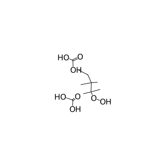 CCC(C)(C)C(C)(C)OO.O=C(O)O.O=C(O)O